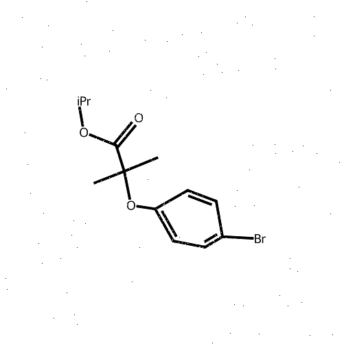 CC(C)OC(=O)C(C)(C)Oc1ccc(Br)cc1